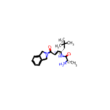 C[C@H](N)C(=O)N[C@H](/C=C/C(=O)N1Cc2ccccc2C1)CC(C)(C)C